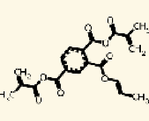 C=C(C)C(=O)OC(=O)c1ccc(C(=O)OC(=O)C(=C)C)c(C(=O)OC=CC)c1